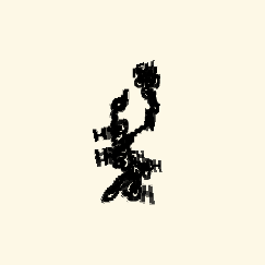 CCN1CCN(CC(=O)O)CCN(CC(=O)O)CCN(COC=O)C(Cc2ccc(NC(=S)N[C@H](CCCCNC(=O)CCCc3ccc(I)cc3)C(=O)N3CCN(CCCCCCc4cn(Cc5cccc6c5CN(C(=O)C[C@@H]5C[C@@H](C(=O)N7CC(F)(F)C[C@H]7C#N)NC5=O)C6)nn4)CC3)cc2)C1